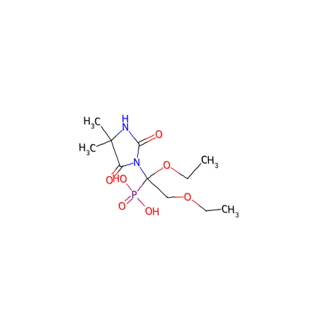 CCOCC(OCC)(N1C(=O)NC(C)(C)C1=O)P(=O)(O)O